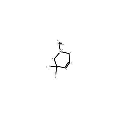 NN1CC=CC(F)(F)C1